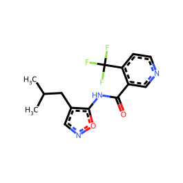 CC(C)Cc1cnoc1NC(=O)c1cnccc1C(F)(F)F